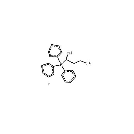 CCCC(O)[P+](c1ccccc1)(c1ccccc1)c1ccccc1.[I-]